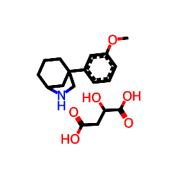 COc1cccc(C23CCCC(C2)NC3)c1.O=C(O)CC(O)C(=O)O